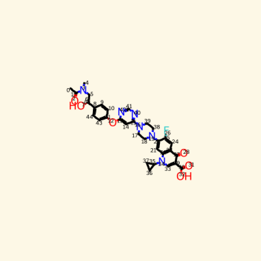 CC(=O)N(C)C[C@H](O)c1ccc(Oc2cc(N3CCN(c4cc5c(cc4F)c(=O)c(C(=O)O)cn5C4CC4)CC3)ncn2)cc1